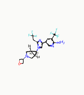 Nc1ncc(-c2cn([C@H]3[C@@H]4CN(C5COC5)C[C@@H]43)c(CC(F)(F)F)n2)cc1C(F)(F)F